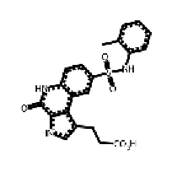 Cc1ccccc1NS(=O)(=O)c1ccc2[nH]c(=O)c3[nH]cc(CCC(=O)O)c3c2c1